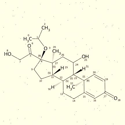 CC(C)O[C@]1(C(=O)CO)CC[C@H]2[C@@H]3CCC4=CC(=O)C=C[C@]4(C)[C@H]3C(O)C[C@@]21C